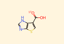 OC(=[17O])c1csc2nc[nH]c12